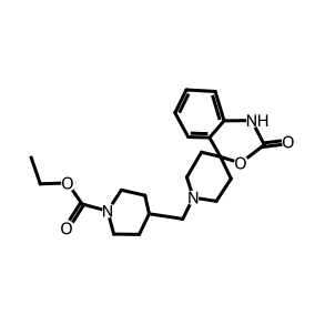 CCOC(=O)N1CCC(CN2CCC3(CC2)OC(=O)Nc2ccccc23)CC1